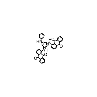 O=C1c2ccccc2C(=O)c2c(NN3CN(Nc4ccccc4)CN(Nc4cccc5c4C(=O)c4ccccc4C5=O)C3)cccc21